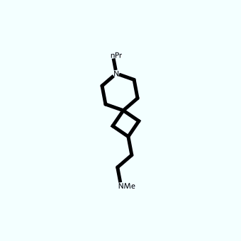 CCCN1CCC2(CC1)CC(CCNC)C2